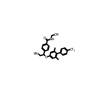 Cc1cc(OC(CC(C)(C)C)c2ccc(C(=O)NCC#N)cc2)cc(C)c1-c1ccc(C(F)(F)F)cc1